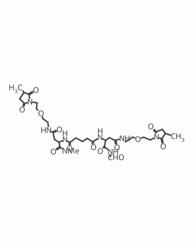 CNC(=O)C(CC(=O)NCCOCCN1C(=O)CC(C)C1=O)NC(=O)CCCC(=O)NC(CC(=O)NCCOCCN1C(=O)CC(C)C1=O)C(=O)NC=O